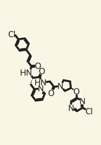 O=C(/C=C/c1ccc(Cl)cc1)N[C@@H](Cc1ccccn1)C(=O)NCC(=O)N1CC[C@@H](Oc2cncc(Cl)n2)C1